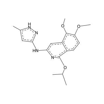 COc1ccc2c(OC(C)C)nc(Nc3cc(C)[nH]n3)cc2c1OC